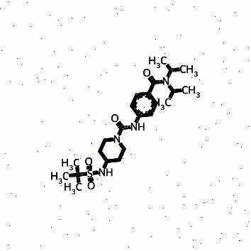 CC(C)N(C(=O)c1ccc(NC(=O)N2CCC(NS(=O)(=O)C(C)(C)C)CC2)cc1)C(C)C